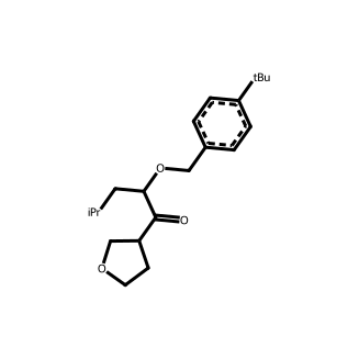 CC(C)CC(OCc1ccc(C(C)(C)C)cc1)C(=O)C1CCOC1